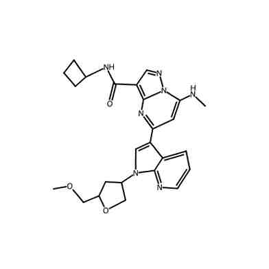 CNc1cc(-c2cn(C3COC(COC)C3)c3ncccc23)nc2c(C(=O)NC3CCC3)cnn12